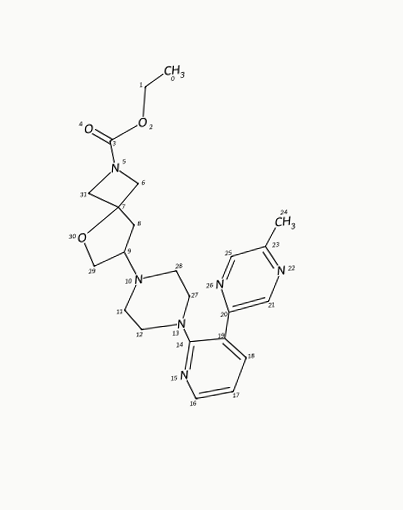 CCOC(=O)N1CC2(CC(N3CCN(c4ncccc4-c4cnc(C)cn4)CC3)CO2)C1